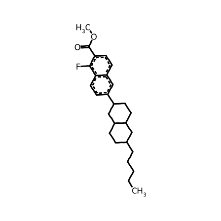 CCCCCC1CCC2CC(c3ccc4c(F)c(C(=O)OC)ccc4c3)CCC2C1